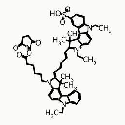 CCn1c2ccc(S(=O)(=O)O)cc2c2c3c(ccc21)[N+](CC)=C(/C=C/C=C/C=C1/N(CCCCCC(=O)ON2C(=O)CCC2=O)c2ccc4c(c2C1(C)C)c1ccccc1n4CC)C3(C)C